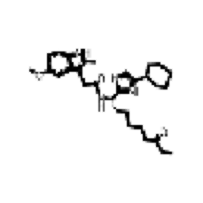 CCC(=O)CCCCC[C@H](NC(=O)Cc1c(C)[nH]c2ccc(OC)cc12)c1ncc(C2CCCCC2)[nH]1